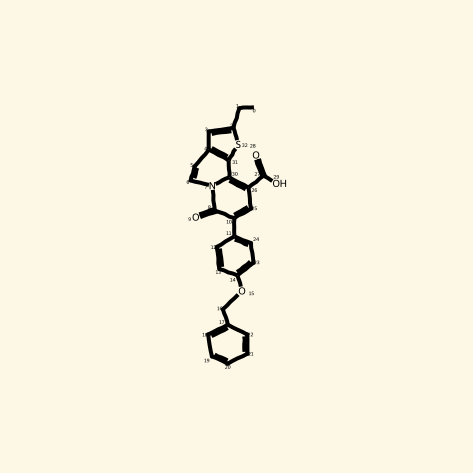 CCc1cc2ccn3c(=O)c(-c4ccc(OCc5ccccc5)cc4)cc(C(=O)O)c3c2s1